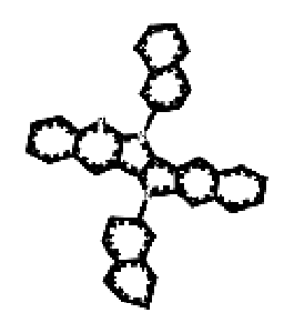 c1ccc2cc(-n3c4cc5ccccc5cc4c4c3c3cc5ccccc5nc3n4-c3ccc4ccccc4c3)ccc2c1